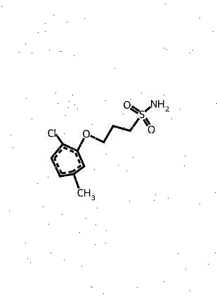 Cc1ccc(Cl)c(OCCCS(N)(=O)=O)c1